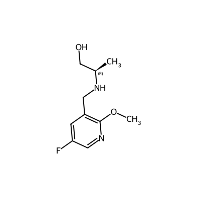 COc1ncc(F)cc1CN[C@H](C)CO